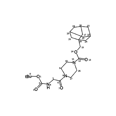 CC(C)(C)OC(=O)NCC(=O)N1CCN(C(=O)OCC23CC4CC(CC(C4)C2)C3)CC1